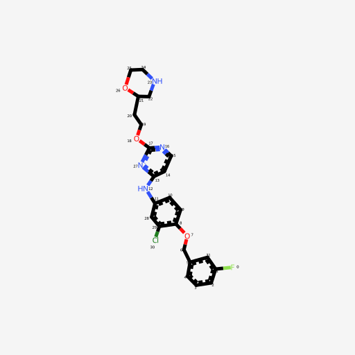 Fc1cccc(COc2ccc(Nc3ccnc(OCCC4CNCCO4)n3)cc2Cl)c1